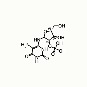 Nc1c(NC2O[C@H](CO)[C@@H](O)[C@H]2OP(=O)(O)O)[nH]c(=O)[nH]c1=O